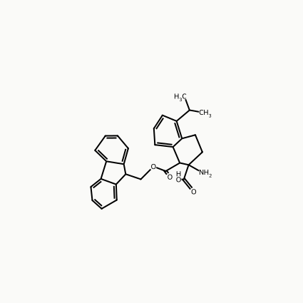 CC(C)c1cccc2c1CCC(N)(C(=O)O)C2C(=O)OCC1c2ccccc2-c2ccccc21